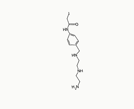 NCCNCCNCc1ccc(NC(=O)CI)cc1